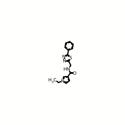 CCn1ccc(C(=O)NCc2nnc(-c3ccccc3)s2)c1